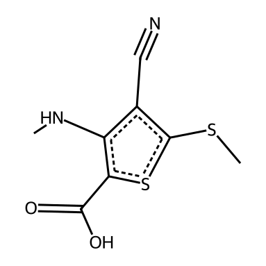 CNc1c(C(=O)O)sc(SC)c1C#N